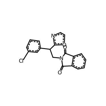 O=C1c2ccccc2C(=O)N1CC(c1cccc(Cl)c1)c1ncco1